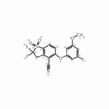 COc1cc(F)cc(Oc2ccc3c(c2C#N)CC(F)(F)S3(=O)=O)c1